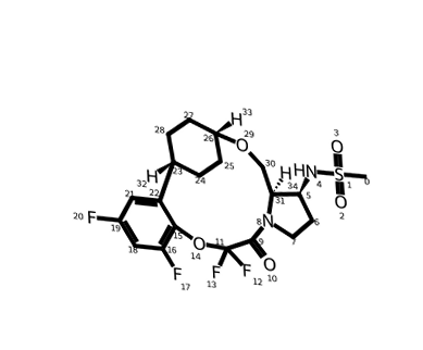 CS(=O)(=O)N[C@H]1CCN2C(=O)C(F)(F)Oc3c(F)cc(F)cc3[C@H]3CC[C@H](CC3)OC[C@@H]12